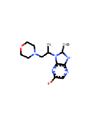 CC(CN1CCOCC1)N1c2nc(Br)cnc2NC1C=O